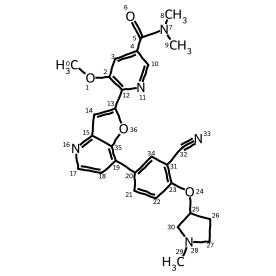 COc1cc(C(=O)N(C)C)cnc1-c1cc2nccc(-c3ccc(OC4CCN(C)C4)c(C#N)c3)c2o1